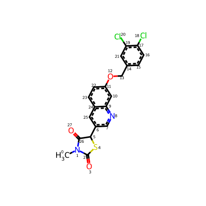 CN1C(=O)SC(c2cnc3cc(OCc4ccc(Cl)c(Cl)c4)ccc3c2)C1=O